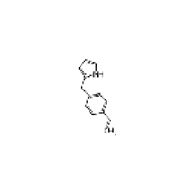 C=Cc1ccc(Cc2ccc[nH]2)cc1